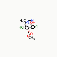 COC(=O)COc1ccc(CC(C)N(CC#N)CC(O)c2cccc(Cl)c2)cc1.Cl